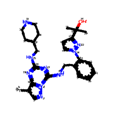 CC(C)c1cnn2c(NCc3ccccc3-n3ccc(C(C)(C)O)n3)nc(NCC3CCNCC3)nc12